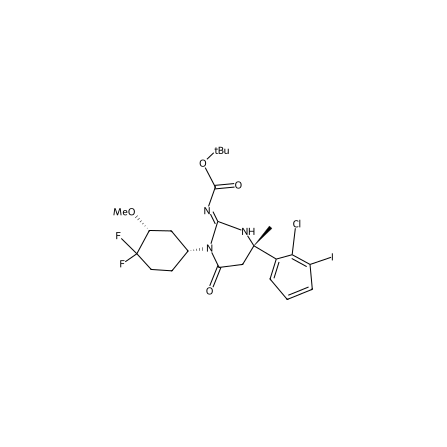 CO[C@@H]1C[C@H](N2C(=O)C[C@@](C)(c3cccc(I)c3Cl)N/C2=N\C(=O)OC(C)(C)C)CCC1(F)F